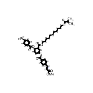 C=C(C)C(=O)OCCCCCCCCCCCOC(=O)c1cc(OC(=O)c2ccc(/C=C/C(=O)OC)cc2)ccc1OC(=O)c1ccc(CCC)cc1